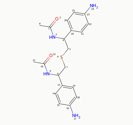 CC(=O)NC(CSCC(NC(C)=O)c1ccc(N)cc1)c1ccc(N)cc1